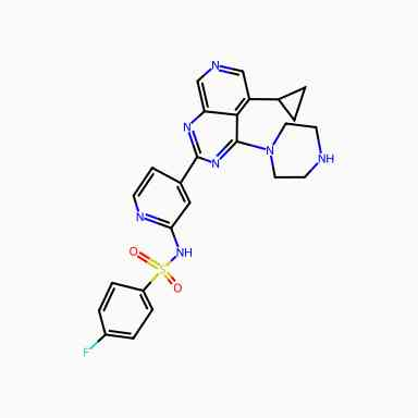 O=S(=O)(Nc1cc(-c2nc(N3CCNCC3)c3c(C4CC4)cncc3n2)ccn1)c1ccc(F)cc1